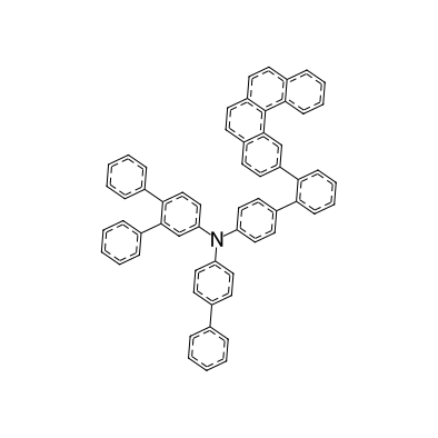 c1ccc(-c2ccc(N(c3ccc(-c4ccccc4-c4ccc5ccc6ccc7ccccc7c6c5c4)cc3)c3ccc(-c4ccccc4)c(-c4ccccc4)c3)cc2)cc1